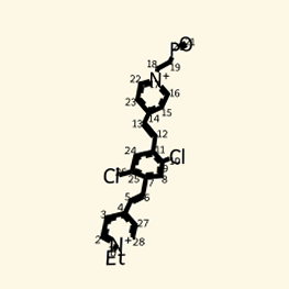 CC[n+]1ccc(/C=C/c2cc(Cl)c(/C=C/c3cc[n+](CCP=O)cc3)cc2Cl)cc1